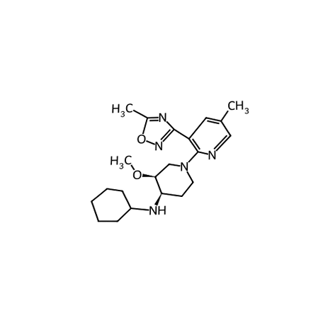 CO[C@H]1CN(c2ncc(C)cc2-c2noc(C)n2)CC[C@H]1NC1CCCCC1